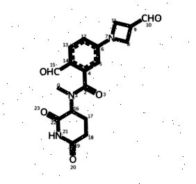 CN(C(=O)c1cc(N2CC(C=O)C2)ccc1C=O)C1CCC(=O)NC1=O